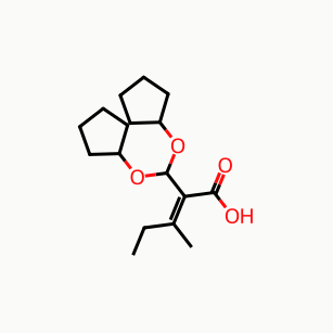 CCC(C)=C(C(=O)O)C(OC1CCCC1)OC1CCCC1